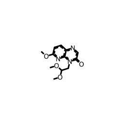 COc1ccc2ncc(=O)n(CC(OC)OC)c2n1